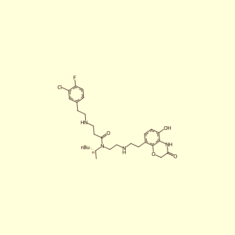 CCCC[C@@H](C)N(CCNCCc1ccc(O)c2c1OCC(=O)N2)C(=O)CCNCCc1ccc(F)c(Cl)c1